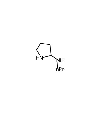 CC[CH]NC1CCCN1